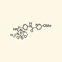 COc1ccc(C(=O)Nc2ccc(F)c([C@]34CCOC3S(=O)(=O)N(C)C(=N)N4)c2)nc1